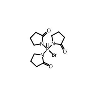 O=C1CCCN1[PH](Br)(N1CCCC1=O)N1CCCC1=O